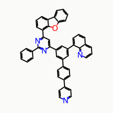 c1ccc(-c2nc(-c3cc(-c4ccc(-c5ccncc5)cc4)cc(-c4cccc5cccnc45)c3)cc(-c3cccc4c3oc3ccccc34)n2)cc1